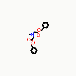 CN(CC(=O)OCc1ccccc1)CC(=O)OCc1ccccc1